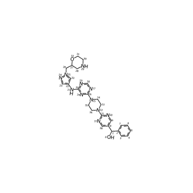 OC(c1ccccc1)c1cnc(N2CCN(c3ncnc(Nc4cnn(CC5CNCCO5)c4)n3)CC2)nc1